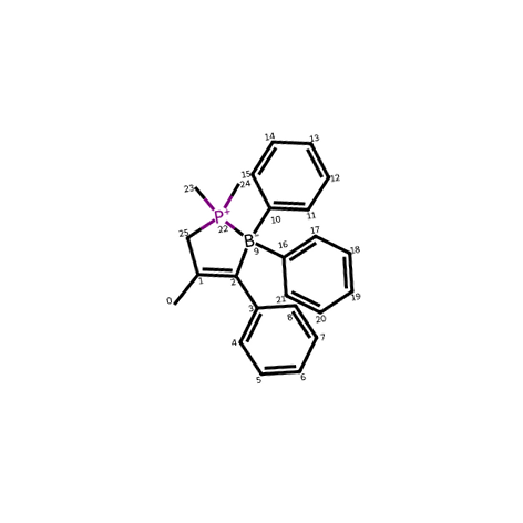 CC1=C(c2ccccc2)[B-](c2ccccc2)(c2ccccc2)[P+](C)(C)C1